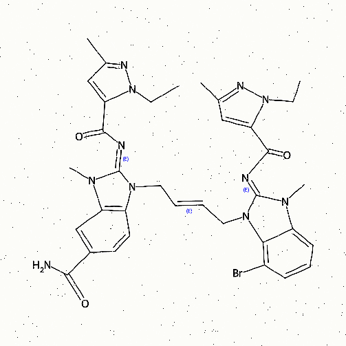 CCn1nc(C)cc1C(=O)/N=c1\n(C)c2cc(C(N)=O)ccc2n1C/C=C/Cn1/c(=N/C(=O)c2cc(C)nn2CC)n(C)c2cccc(Br)c21